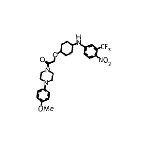 COc1ccc(N2CCN(C(=O)COC3CCC(Nc4ccc([N+](=O)[O-])c(C(F)(F)F)c4)CC3)CC2)cc1